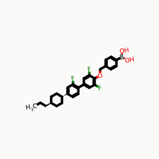 CCC[C@H]1CC[C@H](c2ccc(-c3cc(F)c(OCc4ccc(B(O)O)cc4)c(F)c3)c(F)c2)CC1